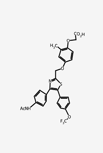 CC(=O)Nc1ccc(-c2nc(COc3ccc(OCC(=O)O)c(C)c3)sc2-c2ccc(OC(F)(F)F)cc2)cc1